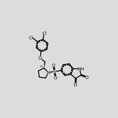 O=C1Nc2ccc(S(=O)(=O)N3CCC[C@H]3COc3ccc(Cl)c(Cl)c3)cc2C1=O